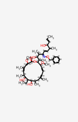 CC=CC(O)C(C)C=CC(=NOCc1ccccc1)C(C)C(O)C(C)C1OC(=O)C(OC)=CC(C)=CC(C)C(O)C(CC)C(O)C(C)CC(C)=CC=CC1OC